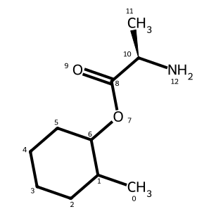 CC1CCCCC1OC(=O)[C@@H](C)N